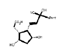 CCCCCC(O)(C#N)C=C[C@H]1[C@@H](CC(=O)O)[C@@H](O)C[C@H]1O